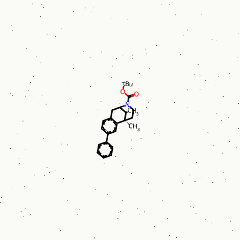 CC1C2Cc3ccc(-c4ccccc4)cc3[C@]1(C)CCN2C(=O)OC(C)(C)C